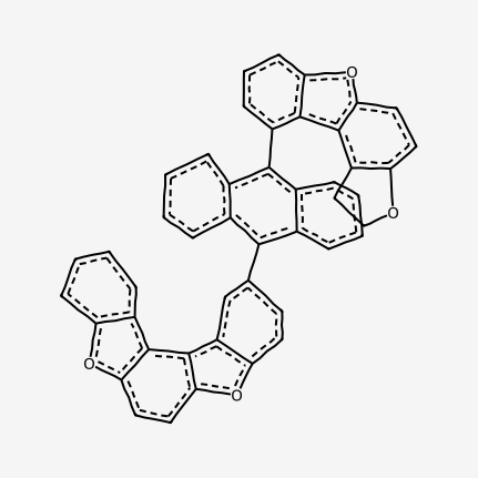 c1ccc2c(c1)oc1ccc3oc4ccc(-c5c6ccccc6c(-c6cccc7oc8ccc9c(c8c67)CCO9)c6ccccc56)cc4c3c12